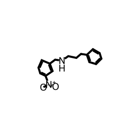 O=[N+]([O-])c1cccc(CNCCCc2ccccc2)c1